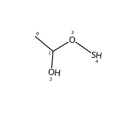 CC(O)OS